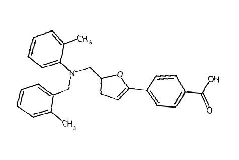 Cc1ccccc1CN(CC1CC=C(c2ccc(C(=O)O)cc2)O1)c1ccccc1C